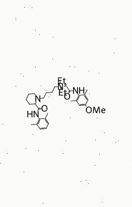 CC[N+](CC)(CCCCN1CCCCC1C(=O)Nc1c(C)cccc1C)CC(=O)Nc1c(C)cc(OC)cc1C